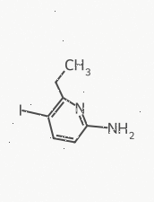 CCc1nc(N)ccc1I